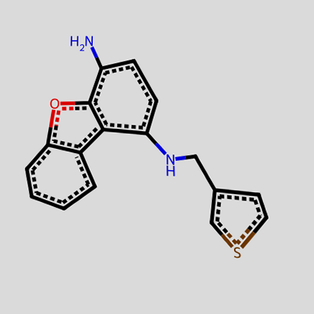 Nc1ccc(NCc2ccsc2)c2c1oc1ccccc12